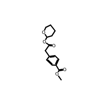 COC(=O)c1ccc(CC(=O)OC2CCCCO2)cc1